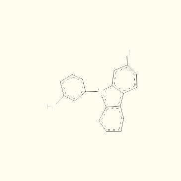 CC(C)(C)c1cccc(-n2c3ccccc3c3ccc(C(C)(C)C)cc32)c1